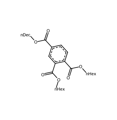 CCCCCCCCCCOC(=O)c1ccc(C(=O)OCCCCCC)c(C(=O)OCCCCCC)c1